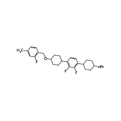 CCCC1CCC(c2ccc(C3CCC(OCc4ccc(C)cc4F)CC3)c(F)c2F)CC1